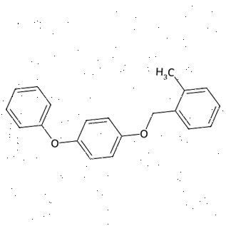 Cc1ccccc1COc1ccc(Oc2ccccc2)cc1